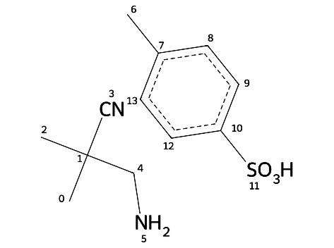 CC(C)(C#N)CN.Cc1ccc(S(=O)(=O)O)cc1